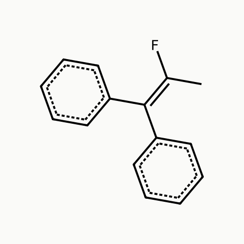 CC(F)=C(c1ccccc1)c1ccccc1